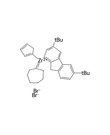 CC(C)(C)c1ccc2c(c1)-c1cc(C(C)(C)C)c[c]([Zr+2]([C]3=CC=CC3)=[C]3CCCCCC3)c1C2.[Br-].[Br-]